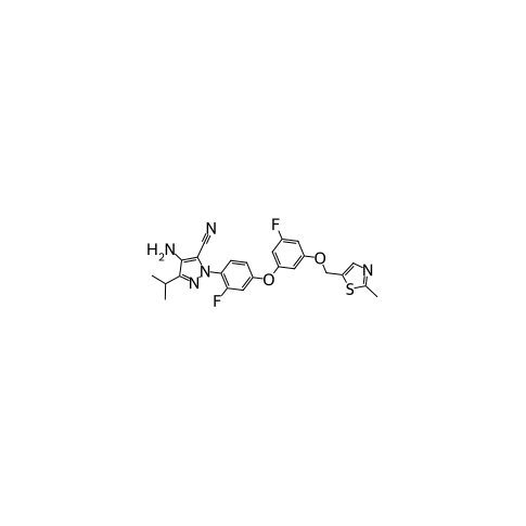 Cc1ncc(COc2cc(F)cc(Oc3ccc(-n4nc(C(C)C)c(N)c4C#N)c(F)c3)c2)s1